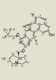 C#Cc1c(F)ccc2cc(O)cc(-c3ncc4c(OCC(F)(F)F)nc(OC[C@@]56CCCN5C[C@H](F)C6)nc4c3F)c12